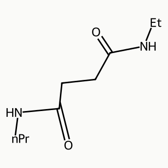 CCCNC(=O)CCC(=O)NCC